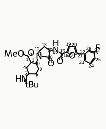 COC(=O)C1CC(NC(C)(C)C)CCC1N1CC[C@H](NC(=O)c2ccc(-c3cccc(F)c3)o2)C1=O